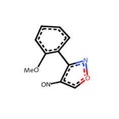 COc1ccccc1-c1nocc1N=O